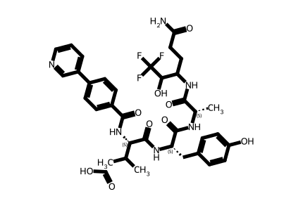 CC(C)[C@H](NC(=O)c1ccc(-c2cccnc2)cc1)C(=O)N[C@@H](Cc1ccc(O)cc1)C(=O)N[C@@H](C)C(=O)NC(CCC(N)=O)C(O)C(F)(F)F.O=CO